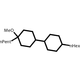 CCCCCCC1CCC(C2CCC(CCCCC)(OC)CC2)CC1